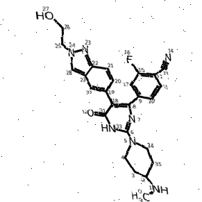 CNC1CCN(c2nc(-c3ccc(C#N)c(F)c3)c(-c3ccc4nn(CCO)cc4c3)c(=O)[nH]2)CC1